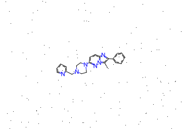 Cc1c(-c2ccccc2)nc2ccc(N3CCN(Cc4ccccn4)CC3)nn12